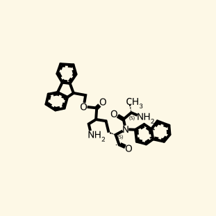 C[C@H](N)C(=O)N(c1ccc2ccccc2c1)[C@H]([C]=O)CCC(CN)C(=O)OCC1c2ccccc2-c2ccccc21